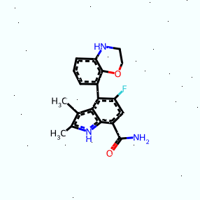 Cc1[nH]c2c(C(N)=O)cc(F)c(-c3cccc4c3OCCN4)c2c1C